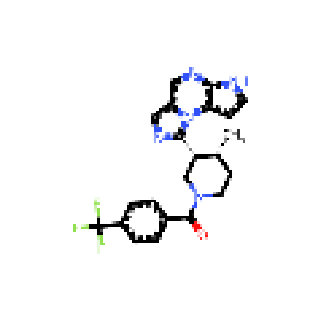 C[C@@H]1CCN(C(=O)c2ccc(C(F)(F)F)cc2)C[C@@H]1c1ncc2cnc3[nH]ccc3n12